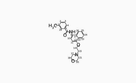 Cc1cccc(C(=O)Nc2ccc(OCCN3CCOCC3)c3ccccc23)c1